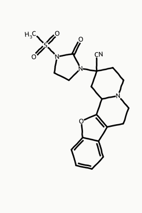 CS(=O)(=O)N1CCN(C2(C#N)CCN3CCc4c(oc5ccccc45)C3C2)C1=O